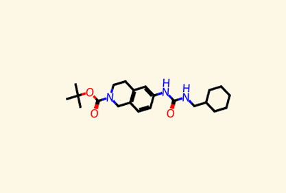 CC(C)(C)OC(=O)N1CCc2cc(NC(=O)NCC3CCCCC3)ccc2C1